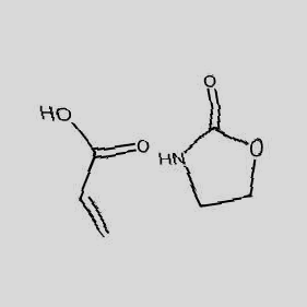 C=CC(=O)O.O=C1NCCO1